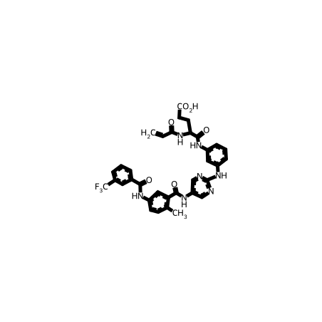 C=CC(=O)NC(CCC(=O)O)C(=O)Nc1cccc(Nc2ncc(NC(=O)c3cc(NC(=O)c4cccc(C(F)(F)F)c4)ccc3C)cn2)c1